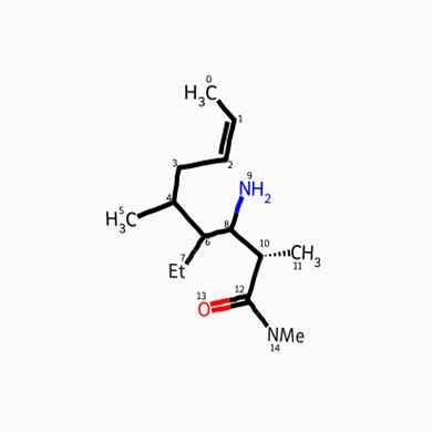 C/C=C\CC(C)C(CC)C(N)[C@H](C)C(=O)NC